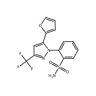 NS(=O)(=O)c1ccccc1-n1nc(C(F)(F)F)cc1-c1ccco1